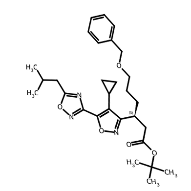 CC(C)Cc1nc(-c2onc([C@@H](CCCOCc3ccccc3)CC(=O)OC(C)(C)C)c2C2CC2)no1